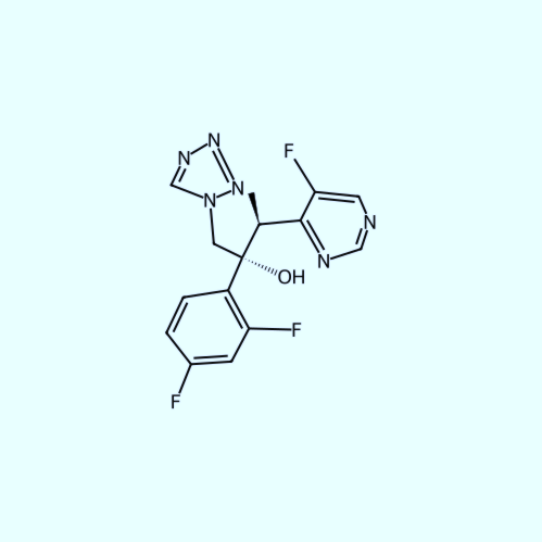 C[C@@H](c1ncncc1F)[C@](O)(Cn1cnnn1)c1ccc(F)cc1F